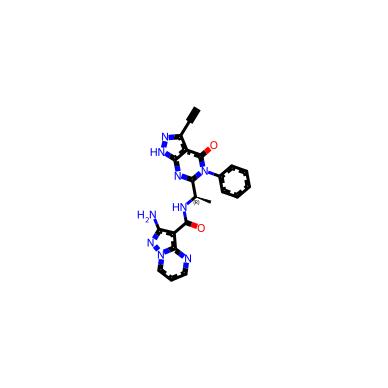 C#Cc1n[nH]c2nc([C@@H](C)NC(=O)c3c(N)nn4cccnc34)n(-c3ccccc3)c(=O)c12